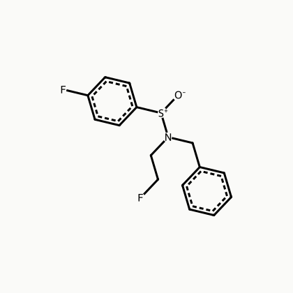 [O-][S+](c1ccc(F)cc1)N(CCF)Cc1ccccc1